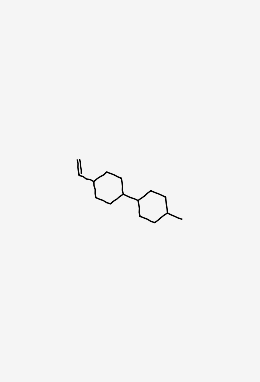 C=CC1CCC(C2CCC(C)CC2)CC1